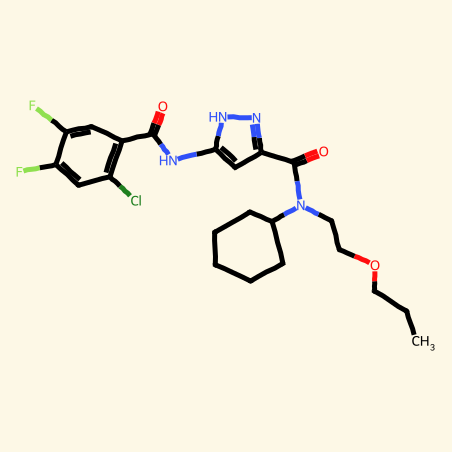 CCCOCCN(C(=O)c1cc(NC(=O)c2cc(F)c(F)cc2Cl)[nH]n1)C1CCCCC1